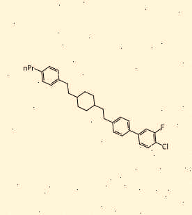 CCCc1ccc(CCC2CCC(CCc3ccc(-c4ccc(Cl)c(F)c4)cc3)CC2)cc1